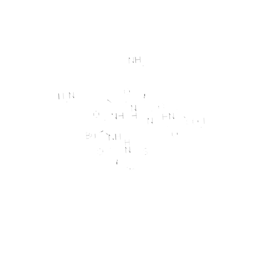 CC[C@H](C)[C@H](NC(=O)[C@H](CC(C)C)NC=S)C(=O)N[C@@H](CCCCN)C(=O)N[C@@H](CCCCN)C(=O)N1CCC[C@H]1C(=O)N[C@@H](Cc1ccccc1)C(=O)O